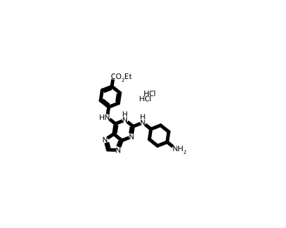 CCOC(=O)c1ccc(Nc2[nH]c(NC3CCC(N)CC3)nc3ncnc2-3)cc1.Cl.Cl